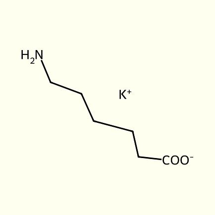 NCCCCCC(=O)[O-].[K+]